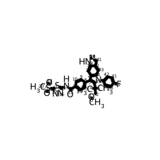 COCC(C)(C)c1c(-c2ccc(C(=O)Nc3nnc(S(C)(=O)=O)s3)cc2)c2cc3[nH]ncc3cc2n1-c1ccc(F)cc1